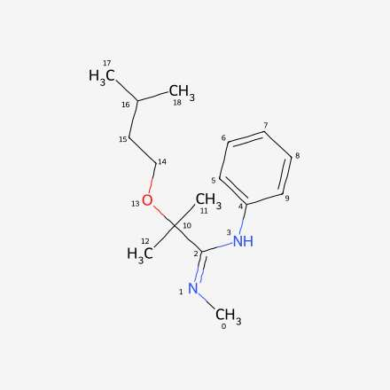 C/N=C(\Nc1ccccc1)C(C)(C)OCCC(C)C